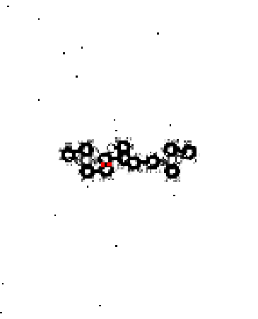 c1ccc(-c2ccccc2N(c2ccc3c(c2)Oc2cccc4c2c-3cc2ccc(-c3ccc(N(c5ccccc5)c5cccc6c5oc5ccccc56)cc3)cc24)c2cccc3c2oc2ccccc23)cc1